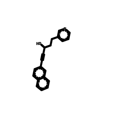 OC(C#Cc1ccc2ccccc2c1)CCc1cccnc1